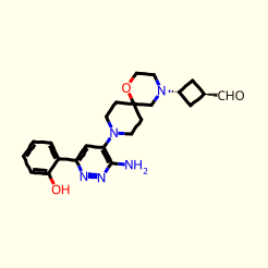 Nc1nnc(-c2ccccc2O)cc1N1CCC2(CC1)CN([C@H]1C[C@H](C=O)C1)CCO2